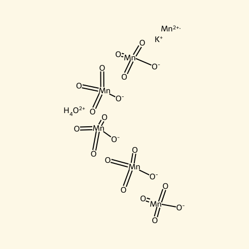 [K+].[Mn+2].[OH4+2].[O]=[Mn](=[O])(=[O])[O-].[O]=[Mn](=[O])(=[O])[O-].[O]=[Mn](=[O])(=[O])[O-].[O]=[Mn](=[O])(=[O])[O-].[O]=[Mn](=[O])(=[O])[O-]